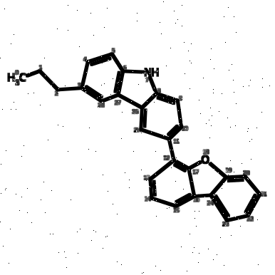 CCCc1ccc2[nH]c3ccc(-c4cccc5c4oc4ccccc45)cc3c2c1